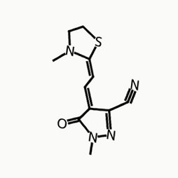 CN1N=C(C#N)/C(=C\C=C2\SCCN2C)C1=O